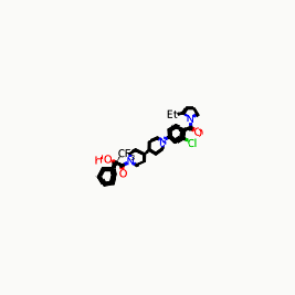 CCC1CCCN1C(=O)c1ccc(N2CCC(C3CCN(C(=O)[C@](O)(c4ccccc4)C(F)(F)F)CC3)CC2)cc1Cl